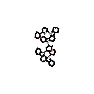 CC1CC=C(n2c3ccccc3c3ccc4c5ccccc5n(-c5ccccc5)c4c32)C=C1n1c2ccccc2c2c1ccc1c3ccccc3n(-c3cccc(-c4ccccc4)n3)c12